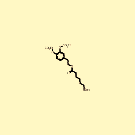 CCCCCCCCCCCCCCCC(=O)OCCc1ccc(OC(=O)OCC)c(OC(=O)OCC)c1